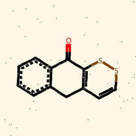 O=C1C2=C(C=CSS2)Cc2ccccc21